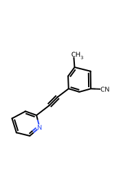 Cc1cc(C#N)cc(C#Cc2ccccn2)c1